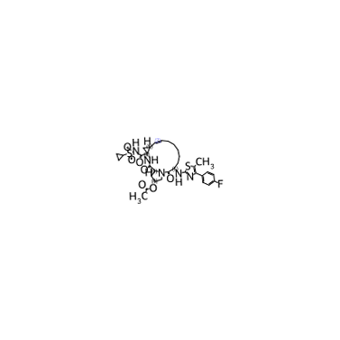 CC(=O)O[C@@H]1C[C@H]2C(=O)N[C@]3(C(=O)NS(=O)(=O)C4CC4)C[C@H]3/C=C\CCCCC[C@H](Nc3nc(-c4ccc(F)cc4)c(C)s3)C(=O)N2C1